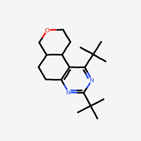 CC(C)(C)c1nc2c(c(C(C)(C)C)n1)C1CCOCC1CC2